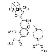 COc1c(CC(NC(=O)CN2CCCN(C(=O)OC(C)(C)C)CC2)B2OC3CC4CC(C4(C)C)C3(C)O2)cccc1C(=O)OC(C)(C)C